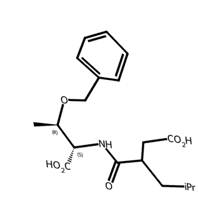 CC(C)CC(CC(=O)O)C(=O)N[C@H](C(=O)O)[C@@H](C)OCc1ccccc1